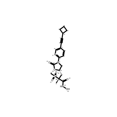 C[C@@](C[C@H]1CN(c2ccc(C#CC3CCC3)cn2)C(=O)O1)(C(=O)NO)S(C)(=O)=O